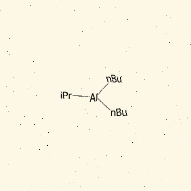 CCC[CH2][Al]([CH2]CCC)[CH](C)C